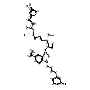 CCN(C[C@@H]1CC[C@H]1[C@H](/C=C/C[C@H](C)C[S@@+]([O-])NC(=O)c1cc(C)co1)OC)c1cc(C(N)=O)ccc1OCCCCc1cccc(Cl)c1